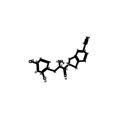 N#Cc1ccc2c(c1)CN(C(=O)[C@H](N)Cc1ccc(Cl)cc1Cl)C2